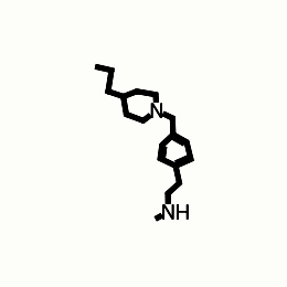 CCCC1CCN(Cc2ccc(CCNC)cc2)CC1